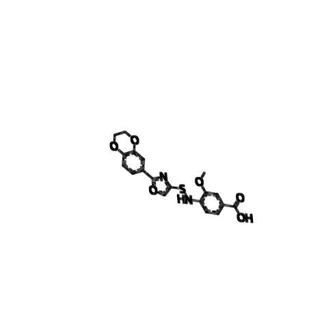 COc1cc(C(=O)O)ccc1NSc1coc(-c2ccc3c(c2)OCCO3)n1